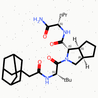 CCC[C@H](NC(=O)[C@@H]1[C@H]2CCC[C@H]2CN1C(=O)[C@@H](NC(=O)CC12CC3CC(CC(C3)C1)C2)C(C)(C)C)C(N)=O